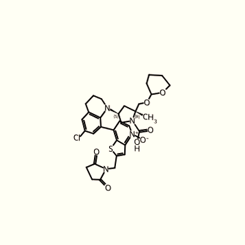 C[C@]1(COC2CCCCO2)C[C@H](N2CCCc3cc(Cl)cc(-c4cc[n+]([O-])c5cc(CN6C(=O)CCC6=O)sc45)c32)CN1C(=O)O